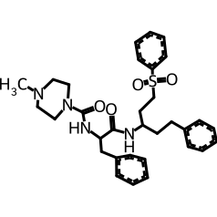 CN1CCN(C(=O)NC(Cc2ccccc2)C(=O)NC(CCc2ccccc2)CCS(=O)(=O)c2ccccc2)CC1